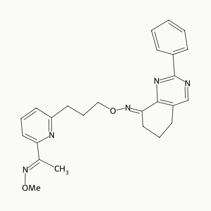 CO/N=C(\C)c1cccc(CCCON=C2CCCc3cnc(-c4ccccc4)nc32)n1